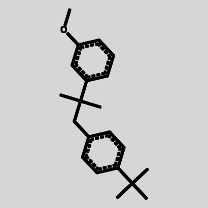 COc1cccc(C(C)(C)Cc2ccc(C(C)(C)C)cc2)c1